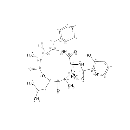 CC(C)CC1OC(=O)[C@H](C)[C@H](O)[C@H](Cc2ccccc2)NC(=O)[C@@H](NC(=O)c2ncccc2O)[C@@H](C)N(C)C1=O